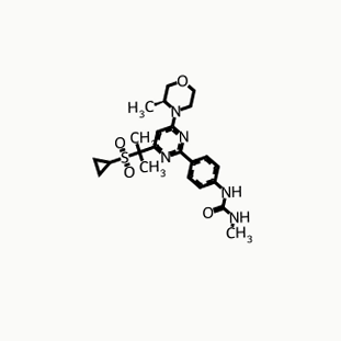 CNC(=O)Nc1ccc(-c2nc(N3CCOC[C@@H]3C)cc(C(C)(C)S(=O)(=O)C3CC3)n2)cc1